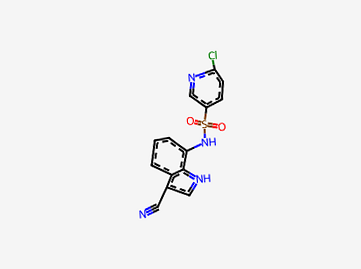 N#Cc1c[nH]c2c(NS(=O)(=O)c3ccc(Cl)nc3)cccc12